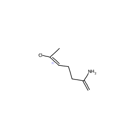 C=C(N)CC/C=C(\C)Cl